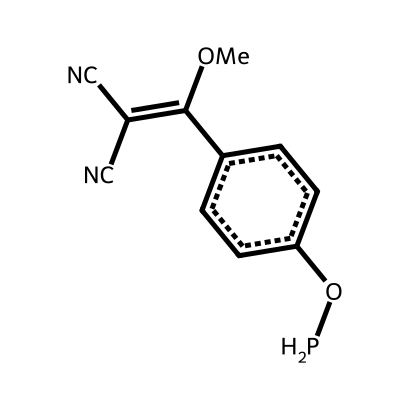 COC(=C(C#N)C#N)c1ccc(OP)cc1